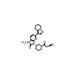 Cn1c(=O)n([C@H]2CCCN(C(=O)CC#N)C2)c2nc(-c3cnn4c3CCCC4)ccc21